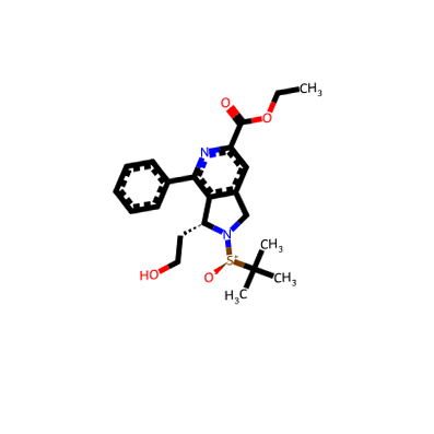 CCOC(=O)c1cc2c(c(-c3ccccc3)n1)[C@@H](CCO)N([S@+]([O-])C(C)(C)C)C2